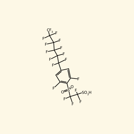 O=S(=O)(O)C(F)(F)C(F)(F)S(=O)(=O)c1c(F)cc(C(F)(F)C(F)(F)C(F)(F)C(F)(F)C(F)(F)C(F)(F)F)cc1F